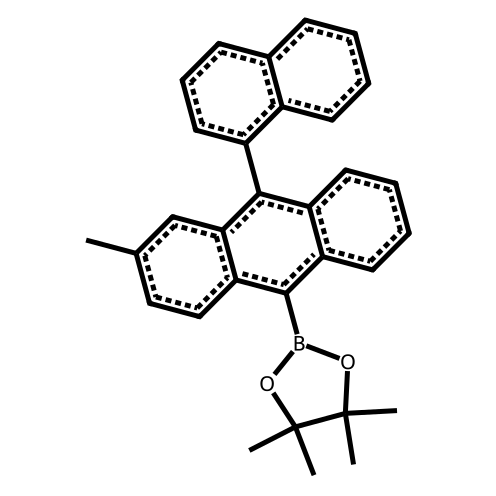 Cc1ccc2c(B3OC(C)(C)C(C)(C)O3)c3ccccc3c(-c3cccc4ccccc34)c2c1